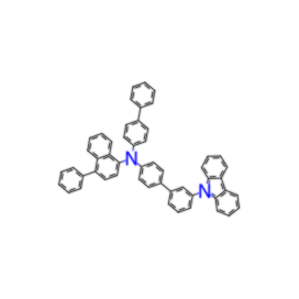 c1ccc(-c2ccc(N(c3ccc(-c4cccc(-n5c6ccccc6c6ccccc65)c4)cc3)c3ccc(-c4ccccc4)c4ccccc34)cc2)cc1